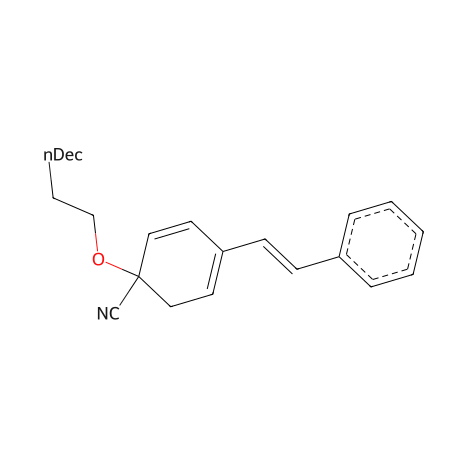 CCCCCCCCCCCCOC1(C#N)C=CC(C=Cc2ccccc2)=CC1